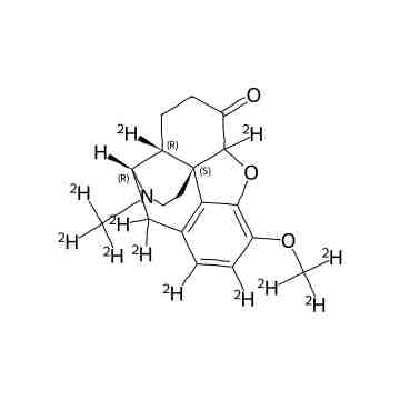 [2H]c1c([2H])c2c3c(c1OC([2H])([2H])[2H])OC1([2H])C(=O)CC[C@@]4([2H])[C@H](N(C([2H])([2H])[2H])CC[C@]314)C2([2H])[2H]